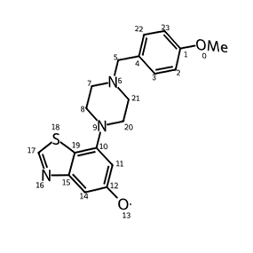 COc1ccc(CN2CCN(c3cc([O])cc4ncsc34)CC2)cc1